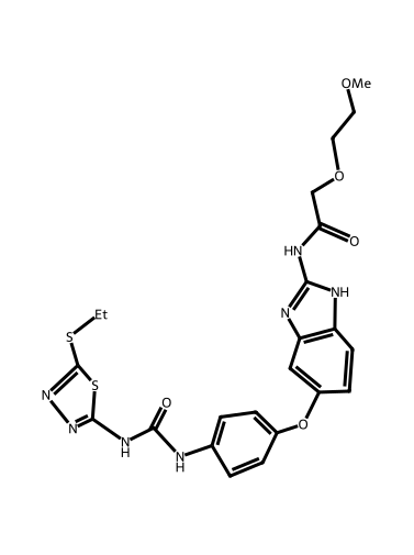 CCSc1nnc(NC(=O)Nc2ccc(Oc3ccc4[nH]c(NC(=O)COCCOC)nc4c3)cc2)s1